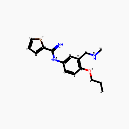 CCCOc1ccc(NC(=N)c2cccs2)cc1CNC